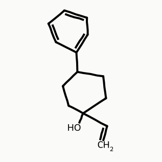 C=CC1(O)CCC(c2ccccc2)CC1